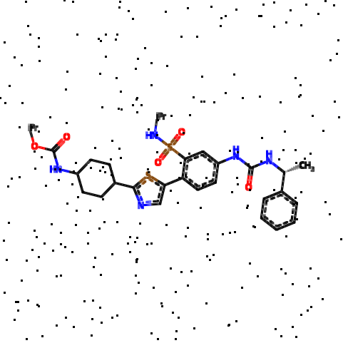 CC(C)NS(=O)(=O)c1cc(NC(=O)N[C@H](C)c2ccccc2)ccc1-c1cnc(C2CCC(NC(=O)OC(C)C)CC2)s1